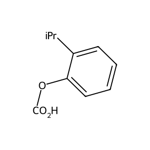 CC(C)c1ccccc1OC(=O)O